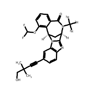 [2H]C([2H])([2H])N1C(=O)c2cccc(OC(F)F)c2[C@H]2C[C@@H]1c1nc3ccc(C#CC(C)(C)CO)cc3n12